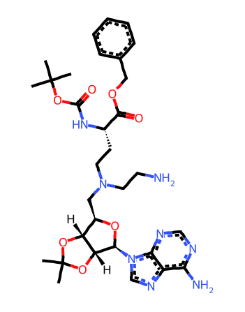 CC(C)(C)OC(=O)N[C@@H](CCN(CCN)C[C@H]1O[C@@H](n2cnc3c(N)ncnc32)[C@@H]2OC(C)(C)O[C@@H]21)C(=O)OCc1ccccc1